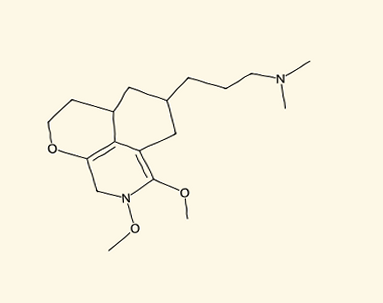 COC1=C2CC(CCCN(C)C)CC3CCOC(=C23)CN1OC